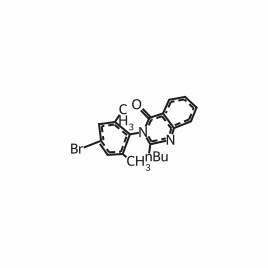 CCCCc1nc2ccccc2c(=O)n1-c1c(C)cc(Br)cc1C